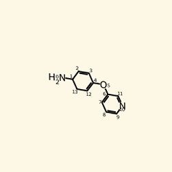 NC1C=CC(Oc2cccnc2)=CC1